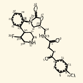 O=C(CCC(=O)c1ccc(Cl)cc1)NC[C@H]1CN(c2ccccc2C2CCNCC2F)C(=O)O1